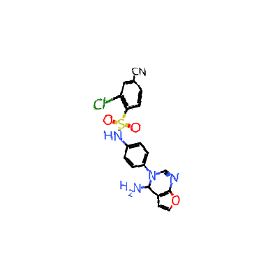 N#Cc1ccc(S(=O)(=O)Nc2ccc(N3C=Nc4occc4C3N)cc2)c(Cl)c1